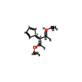 C[SiH](O[SiH3])C(=C1C=CC=C1)[SiH](C)O[SiH3]